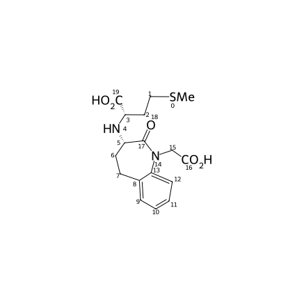 CSCC[C@H](N[C@H]1CCc2ccccc2N(CC(=O)O)C1=O)C(=O)O